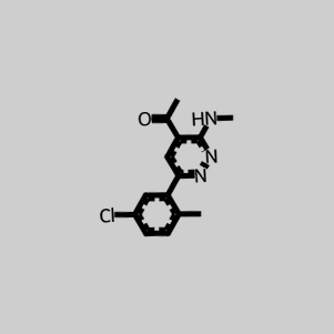 CNc1nnc(-c2cc(Cl)ccc2C)cc1C(C)=O